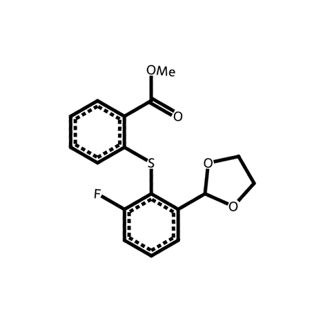 COC(=O)c1ccccc1Sc1c(F)cccc1C1OCCO1